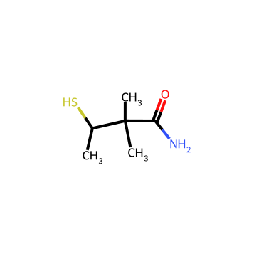 CC(S)C(C)(C)C(N)=O